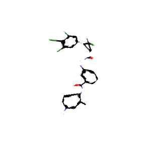 Cc1cc(N)ccc1NC(=O)c1cccc(NC(=O)[C@@H]2[C@@H](c3cc(Cl)c(Cl)c(Cl)c3)C2(Cl)Cl)c1